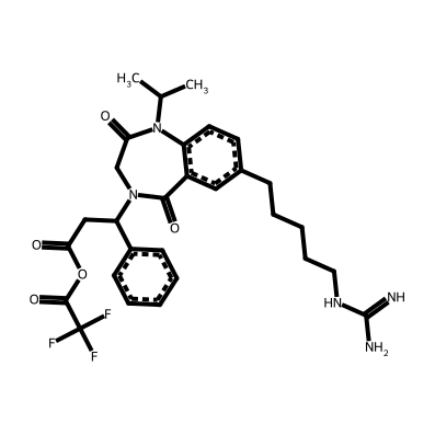 CC(C)N1C(=O)CN(C(CC(=O)OC(=O)C(F)(F)F)c2ccccc2)C(=O)c2cc(CCCCCNC(=N)N)ccc21